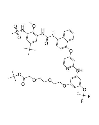 COc1c(NC(=O)Nc2ccc(Oc3ccnc(Nc4cc(OCCOCCOCC(=O)OC(C)(C)C)cc(OC(F)(F)F)c4)c3)c3ccccc23)cc(C(C)(C)C)cc1NS(C)(=O)=O